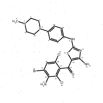 CN1CCN(c2ccc(Nc3nc(N)c(C(=O)c4c(Cl)cc(Br)c(N)c4Cl)s3)cc2)CC1